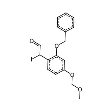 COCOc1ccc(C(I)C=O)c(OCc2ccccc2)c1